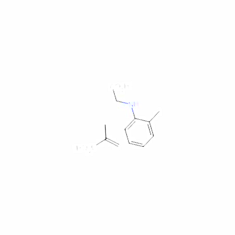 C=C(C)C(=O)O.Cc1ccccc1NCC(=O)O